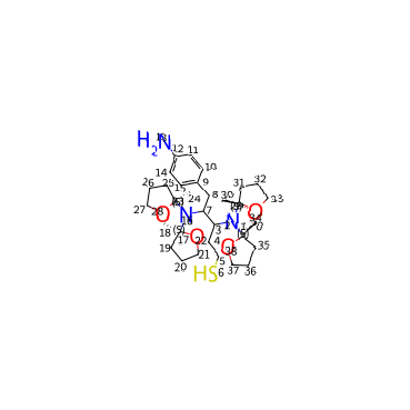 C[C@@]1(N(C(CCS)C(Cc2ccc(N)cc2)N([C@]2(C)CCCO2)[C@]2(C)CCCO2)[C@]2(C)CCCO2)CCCO1